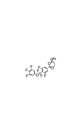 CCC[C@H]1CCO[C@H](c2cc(F)c(C(F)(F)Oc3cc(F)c(F)c(F)c3)c(F)c2)O1